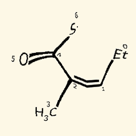 CCC=C(C)C(=O)[S]